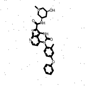 Cc1cc(Oc2ccccc2)ccc1N1C(=O)Nc2c(C(=O)N[C@@H]3C[C@H](O)CN(C)C3)sc3nccc1c23